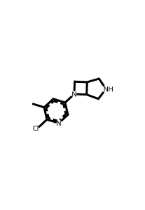 Cc1cc(N2CC3CNCC32)cnc1Cl